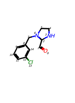 O=CC1NCCN1Cc1cccc(Cl)c1